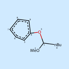 CCCCC(OC)Oc1ccccc1